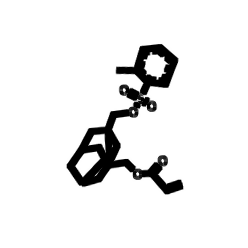 C=CC(=O)OCC12CC3CC(C1)CC(COS(=O)(=O)c1ccccc1C)(C3)C2